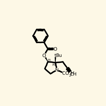 C#CC[C@@]1(C(C)(C)C)[C@H](OC(=O)c2ccccc2)CCN1C(=O)O